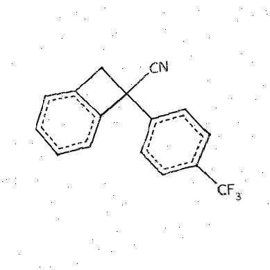 N#CC1(c2ccc(C(F)(F)F)cc2)Cc2ccccc21